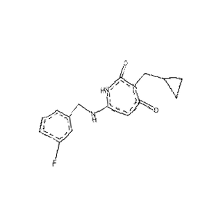 O=c1cc(NCc2cccc(F)c2)[nH]c(=O)n1CC1CC1